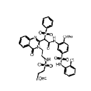 CCCCCCCCCCCCS(=O)(=O)NCCn1c(C(C(=O)Nc2cc(S(=O)(=O)Nc3ccccc3Cl)ccc2OC)S(=O)(=O)c2ccccc2)nc2ccccc2c1=O